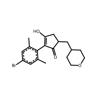 Cc1cc(Br)cc(C)c1C1=C(O)CC(CC2CCOCC2)C1=O